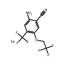 N#Cc1cc(OCC(F)(F)F)c(C(F)(F)F)cc1N.[Fe]